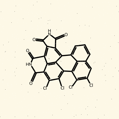 O=C1NC(=O)c2c3c1c(Cl)c(Cl)c1c4c(Cl)c(Cl)cc5cccc(c54)c(c4c(=O)[nH]c(=O)c24)c31